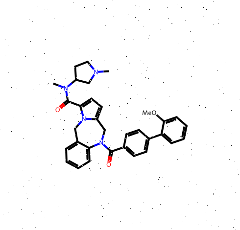 COc1ccccc1-c1ccc(C(=O)N2Cc3ccc(C(=O)N(C)C4CCN(C)C4)n3Cc3ccccc32)cc1